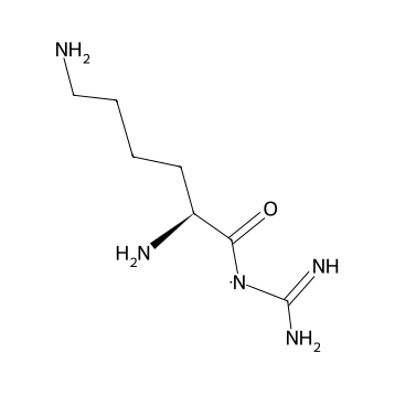 N=C(N)[N]C(=O)[C@@H](N)CCCCN